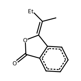 CC/C(C)=C1\OC(=O)c2ccccc21